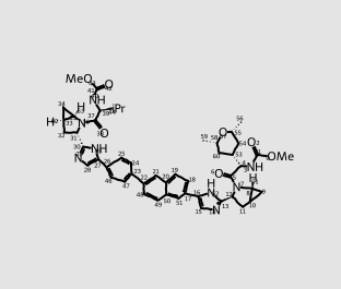 COC(=O)NC(C(=O)N1[C@@H]2CC2C[C@H]1c1ncc(-c2ccc3cc(-c4ccc(-c5cnc([C@@H]6C[C@H]7C[C@H]7N6C(=O)[C@@H](NC(=O)OC)C(C)C)[nH]5)cc4)ccc3c2)[nH]1)[C@H]1C[C@@H](C)O[C@@H](C)C1